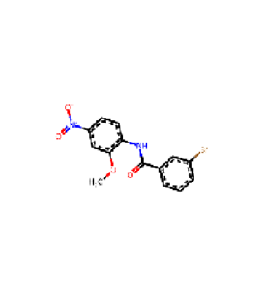 COc1cc([N+](=O)[O-])ccc1NC(=O)c1cccc(Br)c1